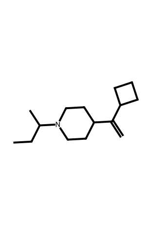 C=C(C1CCC1)C1CCN(C(C)CC)CC1